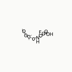 CCOCCOc1cc(C)c(-c2cccc(CNc3ccc(OCC(=O)O)c(F)c3)c2)c(C)c1